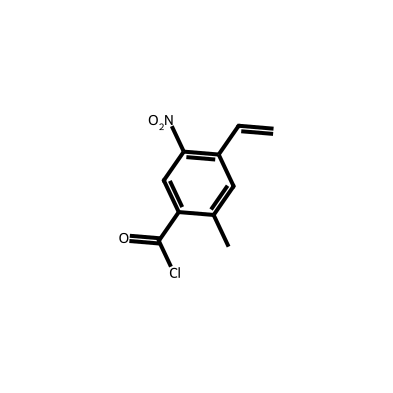 C=Cc1cc(C)c(C(=O)Cl)cc1[N+](=O)[O-]